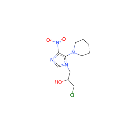 O=[N+]([O-])c1ncn(CC(O)CCl)c1N1CCCCC1